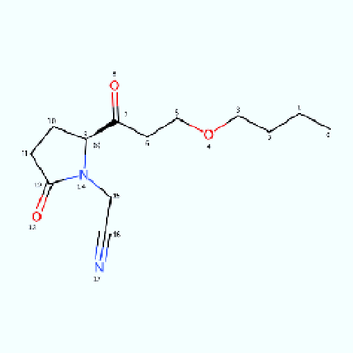 CCCCOCCC(=O)[C@@H]1CCC(=O)N1CC#N